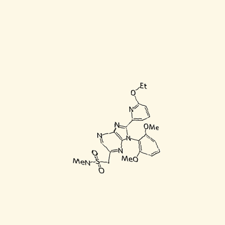 CCOc1cccc(-c2nc3ncc(CS(=O)(=O)NC)nc3n2-c2c(OC)cccc2OC)n1